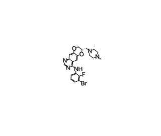 C[C@@H]1CN(C)CCN1C[C@H]1COc2cc3ncnc(Nc4cccc(Br)c4F)c3cc2O1